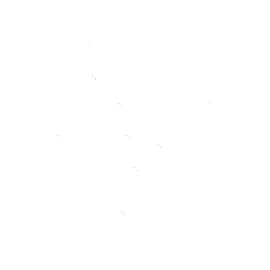 CN(C)C1CN(c2nc(N3CCN(C(=O)O)C(CC#N)C3)c3c4c(c(Br)cc3n2)CCCO4)C1